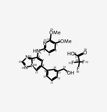 COc1ccc(Nc2cc(-c3cccc(CO)c3)cn3ncnc23)nc1OC.O=C(O)C(F)(F)F